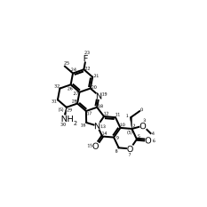 CC[C@@]1(OC)C(=O)OCc2c1cc1n(c2=O)Cc2c-1nc1cc(F)c(C)c3c1c2[C@@H](N)CC3